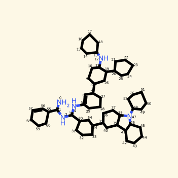 NC(NC(NC1=CC(C2CCC(NC3CCCCC3)C(C3CCCCC3)C2)CCC1)C1CCCC(C2CCC3C(C2)C2CCCCC2N3C2CCCCC2)C1)C1C=CCCC1